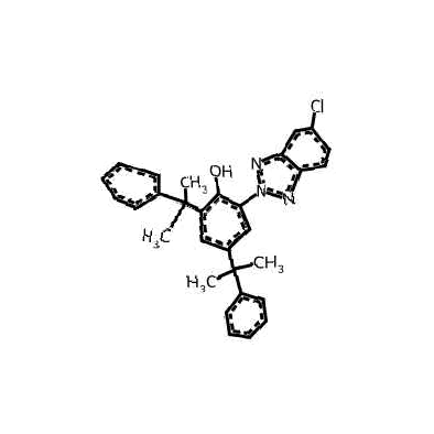 CC(C)(c1ccccc1)c1cc(-n2nc3ccc(Cl)cc3n2)c(O)c(C(C)(C)c2ccccc2)c1